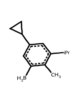 Bc1cc(C2CC2)cc(C(C)C)c1C